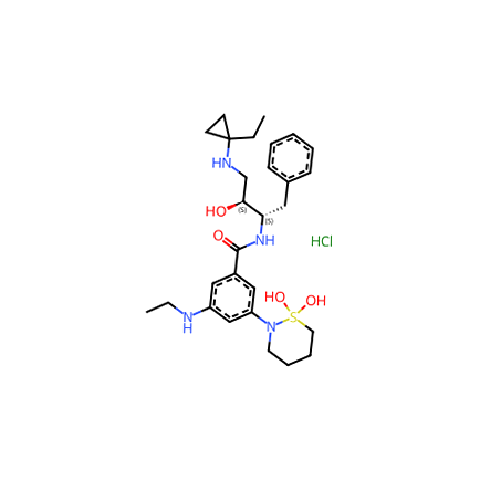 CCNc1cc(C(=O)N[C@@H](Cc2ccccc2)[C@@H](O)CNC2(CC)CC2)cc(N2CCCCS2(O)O)c1.Cl